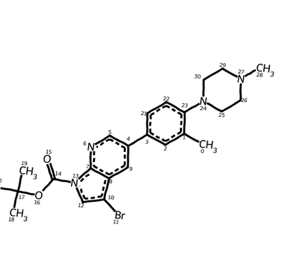 Cc1cc(-c2cnc3c(c2)c(Br)cn3C(=O)OC(C)(C)C)ccc1N1CCN(C)CC1